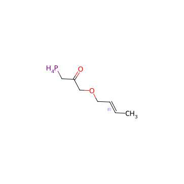 C/C=C/COCC(=O)C[PH4]